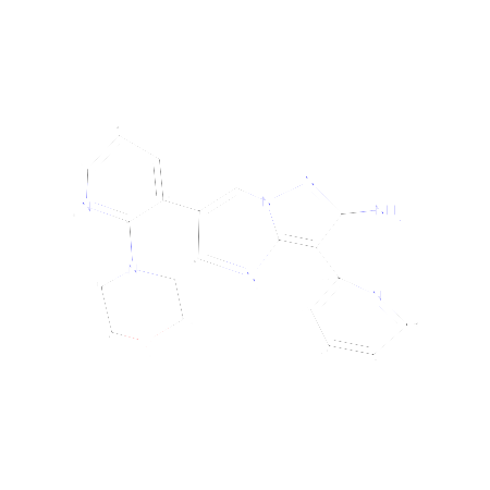 Nc1nn2cc(-c3cccnc3N3CCOCC3)cnc2c1-c1ccccn1